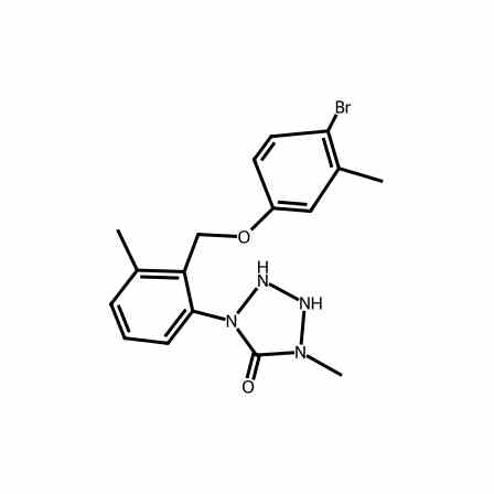 Cc1cc(OCc2c(C)cccc2N2NNN(C)C2=O)ccc1Br